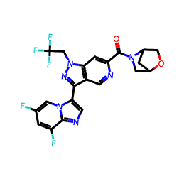 O=C(c1cc2c(cn1)c(-c1cnc3c(F)cc(F)cn13)nn2CC(F)(F)F)N1CC2CC1CO2